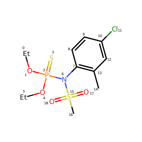 CCOP(=S)(OCC)N(c1ccc(Cl)cc1C)S(C)(=O)=O